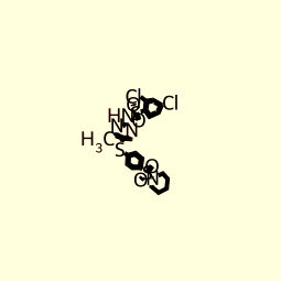 Cc1nc(NS(=O)(=O)c2ccc(Cl)cc2Cl)ncc1Sc1ccc(S(=O)(=O)N2CCCCC2)cc1